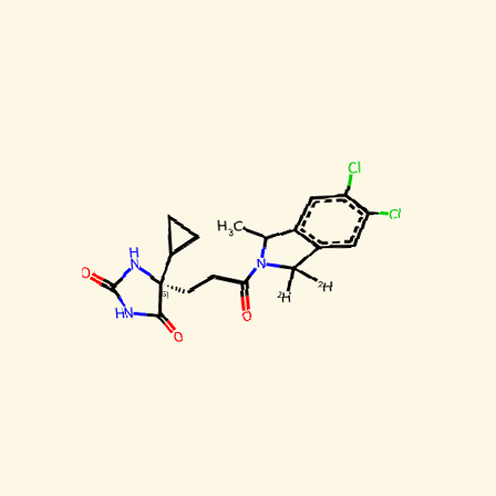 [2H]C1([2H])c2cc(Cl)c(Cl)cc2C(C)N1C(=O)CC[C@@]1(C2CC2)NC(=O)NC1=O